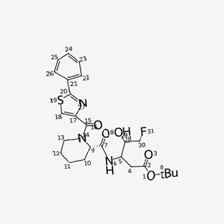 CC(C)(C)OC(=O)CC(NC(=O)[C@@H]1CCCCN1C(=O)c1csc(-c2ccccc2)n1)C(O)CF